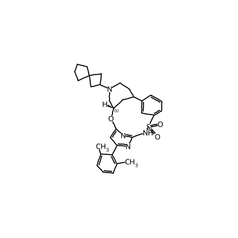 Cc1cccc(C)c1-c1cc2nc(n1)NS(=O)(=O)c1cccc(c1)C1CCN(C3CC4(CCCC4)C3)C[C@H](C1)O2